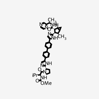 COC(=O)NC(C(=O)N1CCC[C@H]1c1ncc(-c2ccc(-c3ccc(-c4cnc([C@H]5[C@H](C(=O)N[C@@H](C)c6cnccn6)[C@@H]6CC6[C@H]5C)[nH]4)cc3)cc2)[nH]1)C(C)C